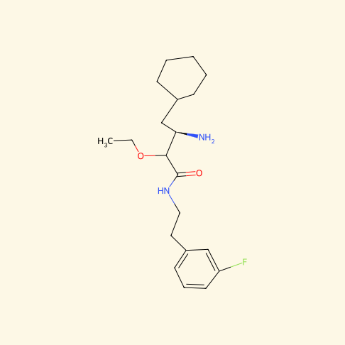 CCOC(C(=O)NCCc1cccc(F)c1)[C@H](N)CC1CCCCC1